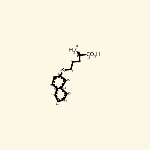 C=C(CCCSc1ccc2ccccc2c1)C(=O)O